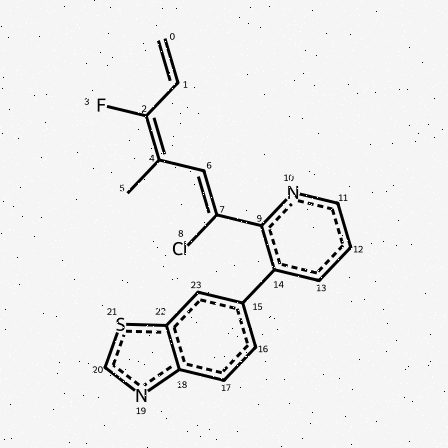 C=C/C(F)=C(C)\C=C(/Cl)c1ncccc1-c1ccc2ncsc2c1